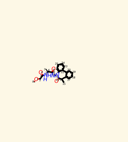 COCC(=O)N[C@@H](C)C(=O)NN1C(=O)C(C)c2ccccc2-c2ccccc21